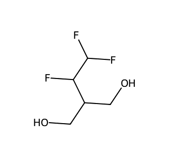 OCC(CO)C(F)C(F)F